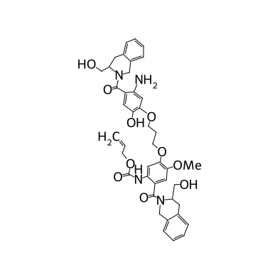 C=CCOC(=O)Nc1cc(OCCCOc2cc(N)c(C(=O)N3Cc4ccccc4CC3CO)cc2O)c(OC)cc1C(=O)N1Cc2ccccc2CC1CO